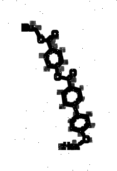 CCCCCCOc1ccc(-c2ccc(C(=O)Oc3ccc(C(=O)OCC(C)CC)cc3)cc2)cc1